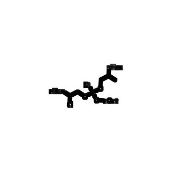 CCCCCCCCO[Si](CC)(OCC(C)CCCCCC)OCC(Cl)CCCCCC